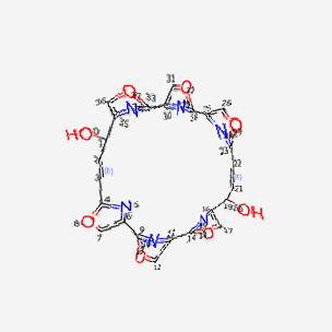 OC1/C=C/c2nc(co2)-c2nc(co2)-c2nc(co2)C(O)/C=C/c2nc(co2)-c2nc(co2)-c2nc1co2